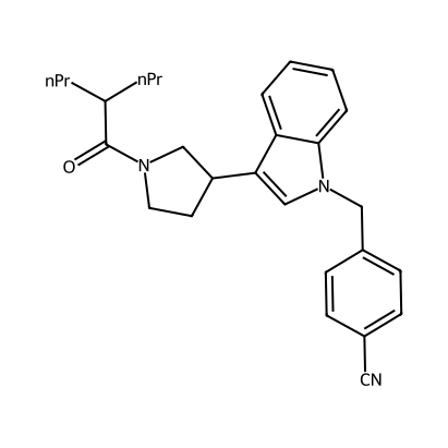 CCCC(CCC)C(=O)N1CCC(c2cn(Cc3ccc(C#N)cc3)c3ccccc23)C1